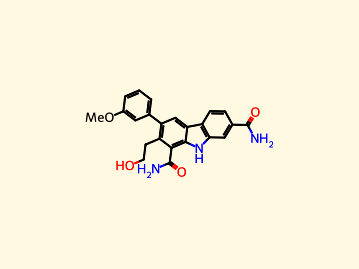 COc1cccc(-c2cc3c([nH]c4cc(C(N)=O)ccc43)c(C(N)=O)c2CCO)c1